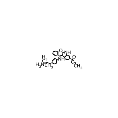 CCOC(=O)c1ccc2c(c1)NC(=O)C2=C(Nc1ccc(CCC(C)(C)N)cc1)c1ccccc1